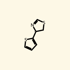 C1=N[C](c2cccs2)CS1